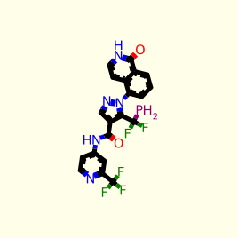 O=C(Nc1ccnc(C(F)(F)F)c1)c1cnn(-c2cccc3c(=O)[nH]ccc23)c1C(F)(F)P